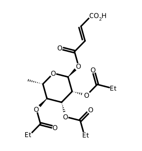 CCC(=O)O[C@@H]1[C@@H](OC(=O)CC)[C@H](C)O[C@@H](OC(=O)/C=C/C(=O)O)[C@@H]1OC(=O)CC